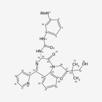 CNc1cccc(NC(=O)N[C@H]2N=C(c3ccccn3)c3ccccc3N(CC(=O)C(C)(C)CO)C2=O)c1